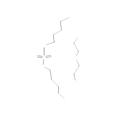 CCCCCCCCCCCCCCOS(=O)(=O)OCCCCCCCCCCCCCC.OCCNCCO